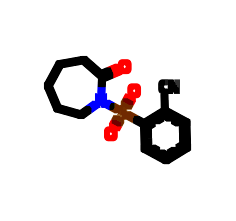 N#Cc1ccccc1S(=O)(=O)N1CCCCCC1=O